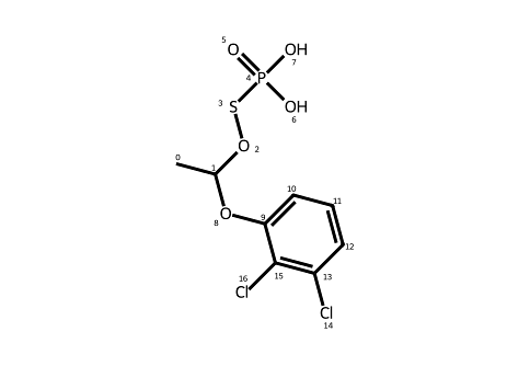 CC(OSP(=O)(O)O)Oc1cccc(Cl)c1Cl